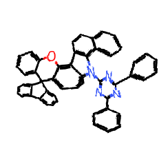 c1ccc(-c2nc(-c3ccccc3)nc(-n3c4ccc5c(c4c4ccc6ccccc6c43)Oc3ccccc3C53c4ccccc4-c4ccccc43)n2)cc1